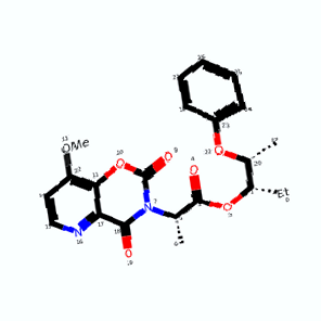 CC[C@H](OC(=O)[C@H](C)n1c(=O)oc2c(OC)ccnc2c1=O)[C@@H](C)Oc1ccccc1